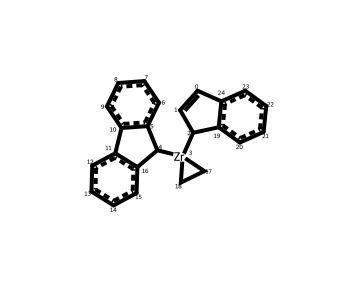 C1=C[CH]([Zr]2([CH]3c4ccccc4-c4ccccc43)[CH2][CH2]2)c2ccccc21